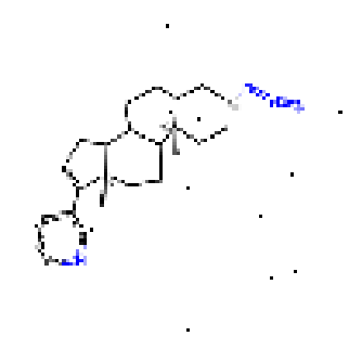 C[C@]12CC[C@@H](N=[N+]=[N-])CC1CCC1C2CC[C@]2(C)C(c3cccnc3)=CCC12